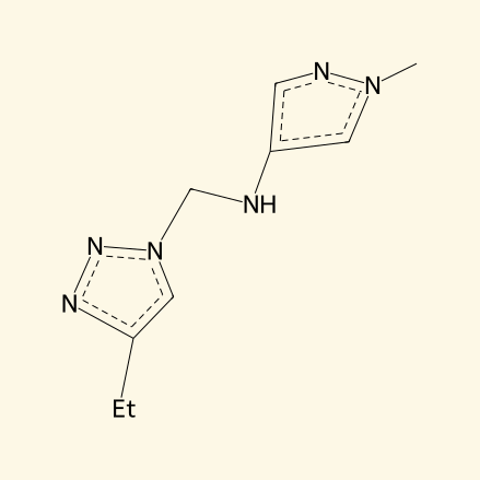 CCc1cn(CNc2cnn(C)c2)nn1